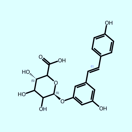 O=C(O)C1O[C@@H](Oc2cc(O)cc(/C=C/c3ccc(O)cc3)c2)C(O)C(O)[C@@H]1O